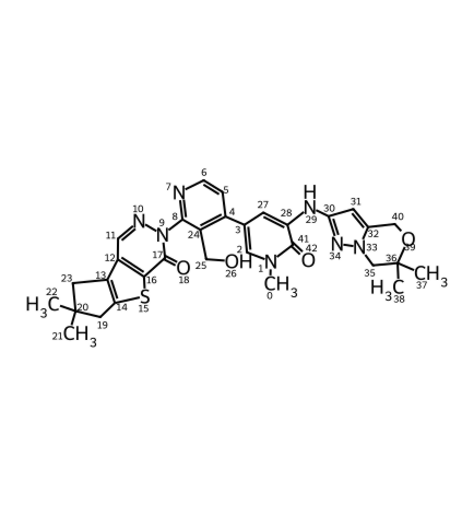 Cn1cc(-c2ccnc(-n3ncc4c5c(sc4c3=O)CC(C)(C)C5)c2CO)cc(Nc2cc3n(n2)CC(C)(C)OC3)c1=O